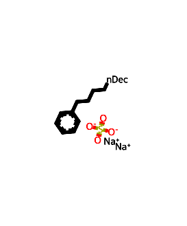 CCCCCCCCCCCCCCc1ccccc1.O=S(=O)([O-])[O-].[Na+].[Na+]